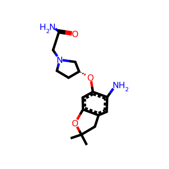 CC1(C)Cc2cc(N)c(O[C@@H]3CCN(CC(N)=O)C3)cc2O1